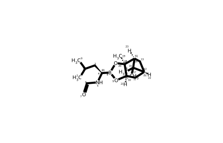 CC(C)C[C@H](NC=O)B1O[C@@H]2C[C@@H]3C[C@@H](C3(C)C)[C@]2(C)O1